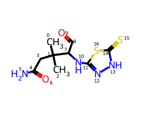 CC(C)(CC(N)=O)C(C=O)Nc1n[nH]c(=S)s1